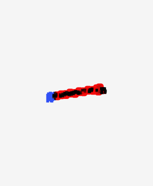 Cc1ccc(S(=O)(=O)OCCOCCOCCOCCOCCOCCOCCOCCOCCOCCN=[N+]=[N-])cc1